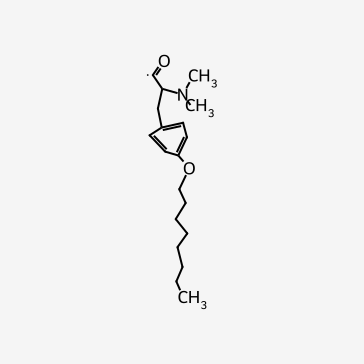 CCCCCCCCOc1ccc(CC([C]=O)N(C)C)cc1